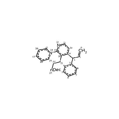 C=CC(c1ccccc1)c1ccnc(-[n+]2ccccc2)c1CCCCCCCCCCCC